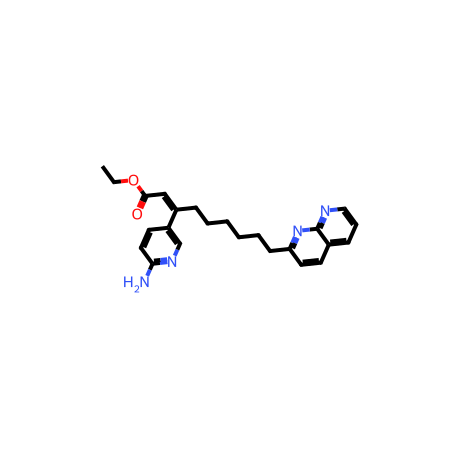 CCOC(=O)C=C(CCCCCCc1ccc2cccnc2n1)c1ccc(N)nc1